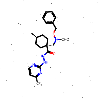 C[C@H]1CC[C@@](CN(C=O)OCc2ccccc2)(C(=O)NNc2nccc(C(F)(F)F)n2)CC1